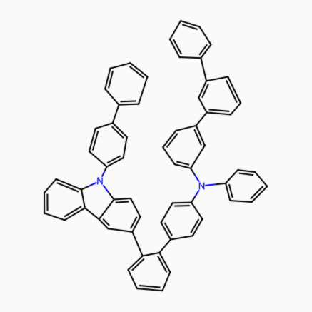 c1ccc(-c2ccc(-n3c4ccccc4c4cc(-c5ccccc5-c5ccc(N(c6ccccc6)c6cccc(-c7cccc(-c8ccccc8)c7)c6)cc5)ccc43)cc2)cc1